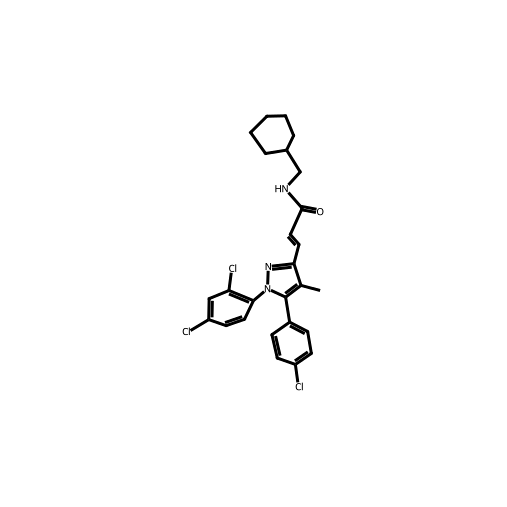 Cc1c(/C=C/C(=O)NCC2CCCCC2)nn(-c2ccc(Cl)cc2Cl)c1-c1ccc(Cl)cc1